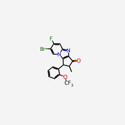 CC1C(=O)c2nc3cc(F)c(Br)cn3c2C1c1ccccc1OC(F)(F)F